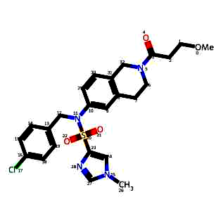 COCCC(=O)N1CCc2cc(N(Cc3ccc(Cl)cc3)S(=O)(=O)c3cn(C)cn3)ccc2C1